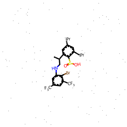 CC(C)c1cc(C(C)C)c(S(=O)O)c(C(C)CNc2cc(C(F)(F)F)cc(C(F)(F)F)c2Br)c1